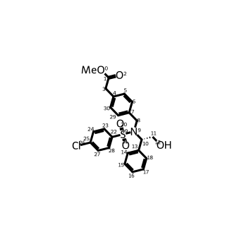 COC(=O)Cc1ccc(CN([C@H](CO)c2ccccc2)S(=O)(=O)c2ccc(Cl)cc2)cc1